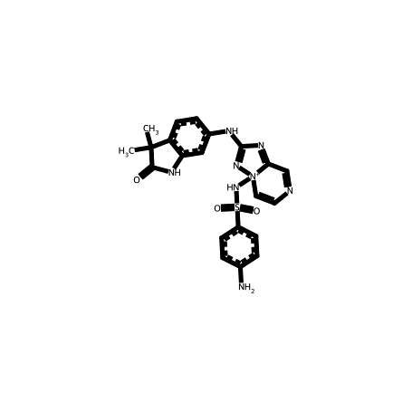 CC1(C)C(=O)Nc2cc(NC3=N[N+]4(NS(=O)(=O)c5ccc(N)cc5)C=CN=CC4=N3)ccc21